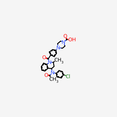 CC(=O)N(c1ccc(Cl)cc1)C1CC(C)N(C(=O)c2ccc(N3CCN(C(=O)O)CC3)cc2)c2ccccc21